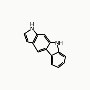 c1ccc2c(c1)[nH]c1cc3[nH]ccc3cc12